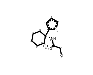 O=C(CCl)N[C@@]1(c2cccs2)CCCC[C@H]1O